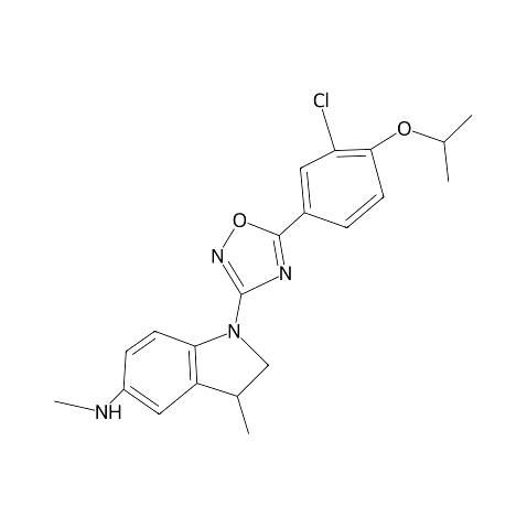 CNc1ccc2c(c1)C(C)CN2c1noc(-c2ccc(OC(C)C)c(Cl)c2)n1